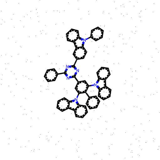 c1ccc(-c2nc(-c3cc(-n4c5ccccc5c5ccccc54)c(-c4ccccc4)c(-n4c5ccccc5c5ccccc54)c3)nc(-c3ccc4c(c3)c3ccccc3n4-c3ccccc3)n2)cc1